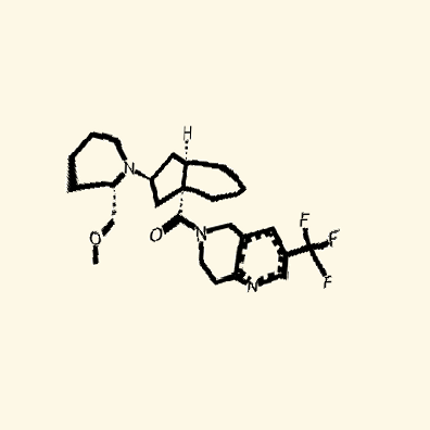 COC[C@@H]1CCCCN1[C@H]1C[C@H]2CCC[C@@]2(C(=O)N2CCc3ncc(C(F)(F)F)cc3C2)C1